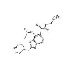 COCCNC(=O)c1ccc2nn(CC3CCNCC3)cc2c1OC(F)F